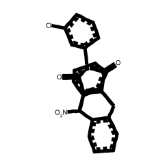 O=C1C2=C(C(=O)N1c1cccc(Cl)c1)C1([N+](=O)[O-])c3ccccc3C2c2ccccc21